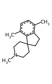 Cc1ccc(C)c2c1CCC21CCN(C)CC1